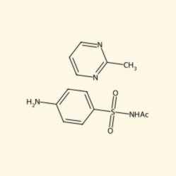 CC(=O)NS(=O)(=O)c1ccc(N)cc1.Cc1ncccn1